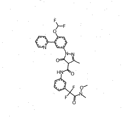 CON(C)C(=O)C(F)(F)c1cccc(NC(=O)C2C(=O)N(c3ccc(OC(F)F)c(-c4ccccn4)c3)N=C2C)c1